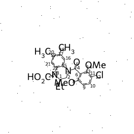 CCC1CN(C(=O)c2c(OC)ccc(Cl)c2OC)c2cc(C)c(C)cc2N1C(=O)O